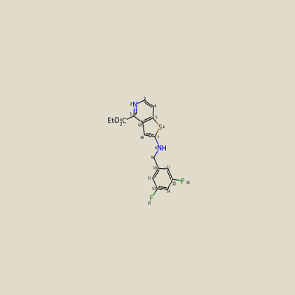 CCOC(=O)c1nccc2sc(NCc3cc(F)cc(F)c3)cc12